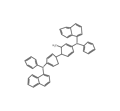 CC1C=C(N(c2ccccc2)c2cccc3ccccc23)C=CC1C1C=CC(N(c2ccccc2)c2cccc3ccccc23)=CC1